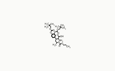 CCCOC(=O)OC(C)CC(c1ccc(OC(=O)OCC(C)(C)C)c(OC(=O)OCC(C)(C)C)c1)[C@H](N)C(=O)O